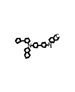 CN(c1ccc(-c2ccc(N(c3cccc(-c4ccccc4)c3)c3ccc4ccccc4c3)cc2)cc1)c1ccc2c(c1)C=C=C=C2